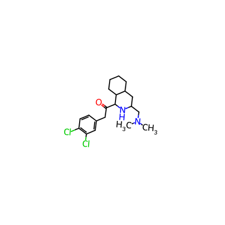 CN(C)CC1CC2CCCCC2C(C(=O)Cc2ccc(Cl)c(Cl)c2)N1